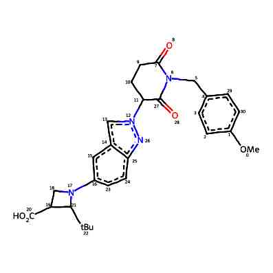 COc1ccc(CN2C(=O)CCC(n3cc4cc(N5CC(C(=O)O)C5C(C)(C)C)ccc4n3)C2=O)cc1